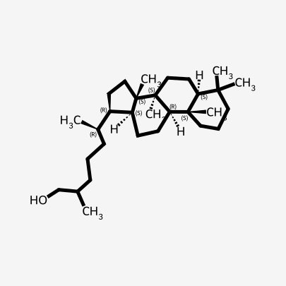 CC(CO)CCC[C@@H](C)[C@H]1CC[C@@]2(C)[C@H]1CC[C@@H]1[C@@]3(C)CCCC(C)(C)[C@@H]3CC[C@@]12C